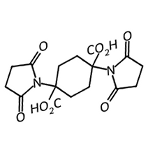 O=C1CCC(=O)N1C1(C(=O)O)CCC(C(=O)O)(N2C(=O)CCC2=O)CC1